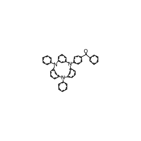 O=C(c1ccccc1)c1ccc(N2c3cccc(c3)N(c3ccccc3)c3cccc(c3)N(c3ccccc3)c3cccc2c3)cc1